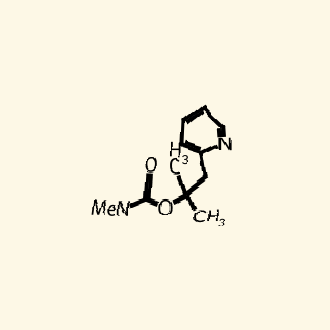 CNC(=O)OC(C)(C)Cc1ccccn1